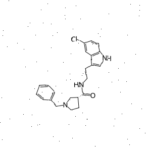 O=C(NCCc1c[nH]c2ccc(Cl)cc12)[C@@H]1CCN(Cc2ccccc2)C1